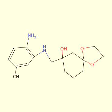 N#Cc1ccc(N)c(NCC2(O)CCCC3(C2)OCCO3)c1